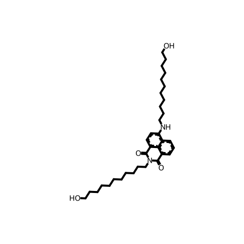 O=C1c2cccc3c(NCCCCCCCCCCCO)ccc(c23)C(=O)N1CCCCCCCCCCCO